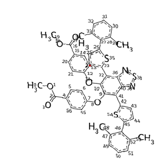 COC(=O)c1ccc(Oc2c(Oc3ccc(C(=O)OC)cc3)c(-c3ccc(-c4c(C)cccc4C)s3)c3nsnc3c2-c2ccc(-c3c(C)cccc3C)s2)cc1